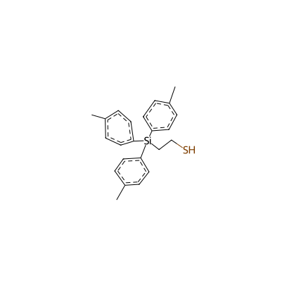 Cc1ccc([Si](CCS)(c2ccc(C)cc2)c2ccc(C)cc2)cc1